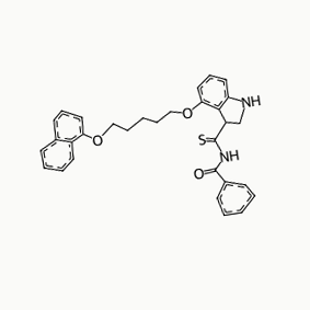 O=C(NC(=S)C1CNc2cccc(OCCCCCOc3cccc4ccccc34)c21)c1ccccc1